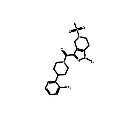 CCn1nc(C(=O)N2CCC(c3ccccc3C(F)(F)F)CC2)c2c1CCN(S(C)(=O)=O)C2